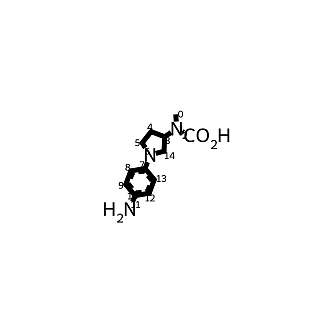 CN(C(=O)O)C1CCN(c2ccc(N)cc2)C1